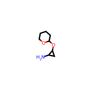 NC1CC1OC1CCCCO1